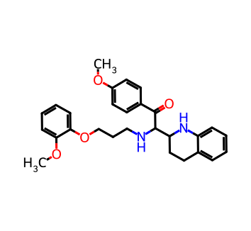 COc1ccc(C(=O)C(NCCCOc2ccccc2OC)C2CCc3ccccc3N2)cc1